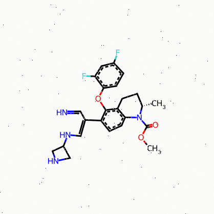 COC(=O)N1c2ccc(/C(C=N)=C/NC3CNC3)c(Oc3ccc(F)cc3F)c2CC[C@@H]1C